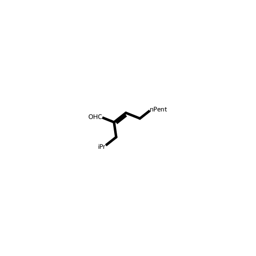 CCCCCCC=C(C=O)CC(C)C